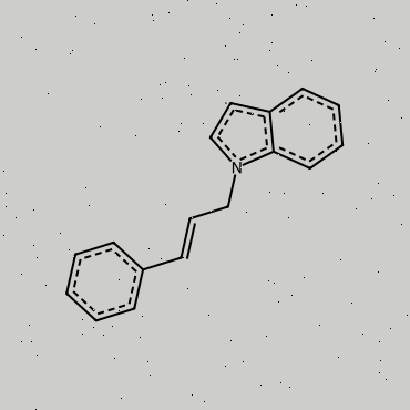 [c]1cn(C/C=C/c2ccccc2)c2ccccc12